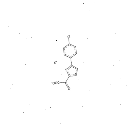 O=C([O-])C(=O)c1ccc(-c2ccc(Cl)cc2)s1.[K+]